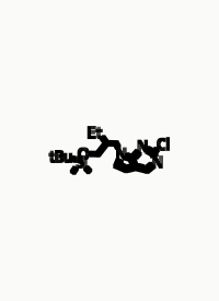 CCC(CO[Si](C)(C)C(C)(C)C)Cn1ccc2cnc(Cl)nc21